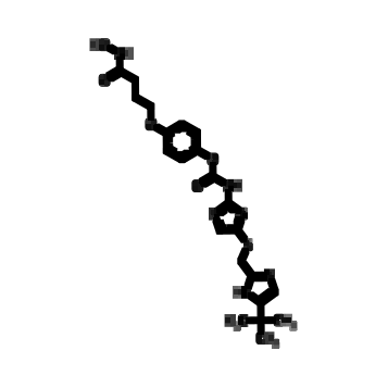 CC(C)(C)C1=CN=C(CSc2cnc(NC(=O)Oc3ccc(OCCCC(=O)NO)cc3)s2)B1